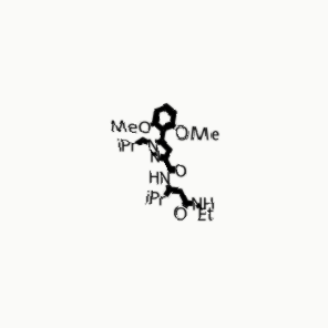 CCNC(=O)CC(NC(=O)c1cc(-c2c(OC)cccc2OC)n(CC(C)C)n1)C(C)C